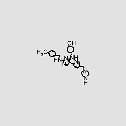 Cc1ccc(CNc2ncc(-c3ccc(CN4CCNCC4)cn3)c(N[C@H]3CC[C@H](O)CC3)n2)cc1